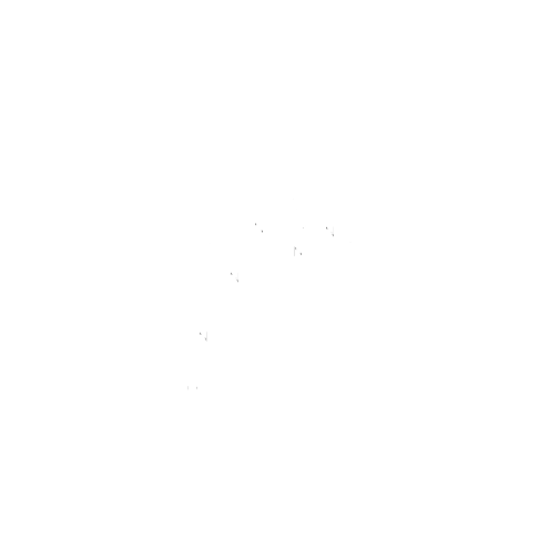 Cc1cccc(N(C(N)=O)[C@H]2N=C(C3CCCCCC3)c3ccccc3N(CCN3CCOCC3)C2=O)c1